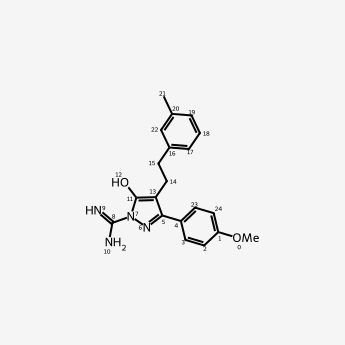 COc1ccc(-c2nn(C(=N)N)c(O)c2CCc2cccc(C)c2)cc1